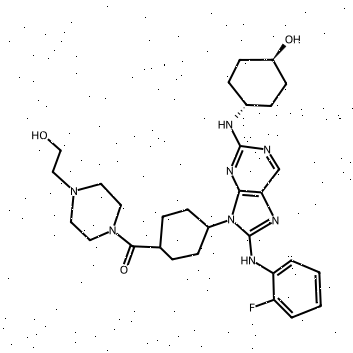 O=C(C1CCC(n2c(Nc3ccccc3F)nc3cnc(N[C@H]4CC[C@H](O)CC4)nc32)CC1)N1CCN(CCO)CC1